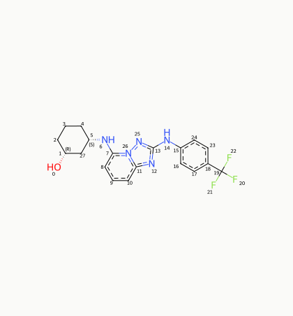 O[C@@H]1CCC[C@H](Nc2cccc3nc(Nc4ccc(C(F)(F)F)cc4)nn23)C1